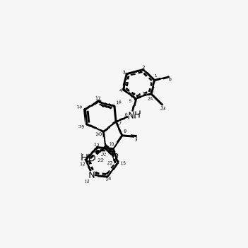 Cc1cccc(NC2(C(C)c3ccncc3)C=CC=CC2C(=O)O)c1C